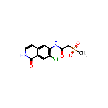 CS(=O)(=O)CC(=O)Nc1cc2cc[nH]c(=O)c2cc1Cl